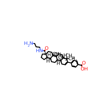 CC1(C)C(c2ccc(C(=O)O)cc2)=CC[C@]2(C)[C@H]3CC[C@@H]4[C@H]5CCC[C@]5(C(=O)NCCCN)CC[C@@]4(C)[C@]3(C)CC[C@@H]12